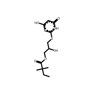 CCC(C)(C)C(=O)OCC(O)CSc1nc(O)cc(=O)[nH]1